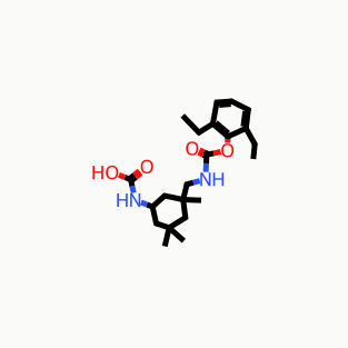 CCc1cccc(CC)c1OC(=O)NCC1(C)CC(NC(=O)O)CC(C)(C)C1